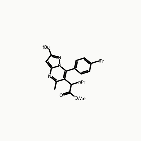 CCCC(C(=O)OC)c1c(C)nc2cc(C(C)(C)C)nn2c1-c1ccc(C(C)C)cc1